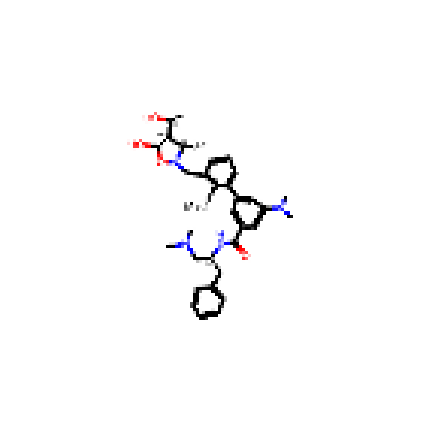 COc1c(CN2OC(O)[C@@H]([C@H](C)O)[C@H]2C(C)=O)cccc1-c1cc(C(=O)N[C@@H](Cc2ccccc2)CN(C)C)cc(N(C)C)c1